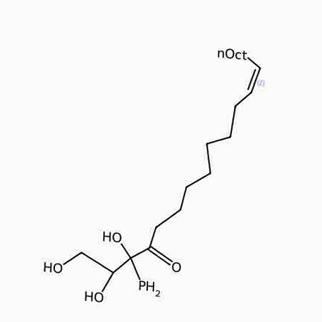 CCCCCCCC/C=C\CCCCCCCC(=O)C(O)(P)C(O)CO